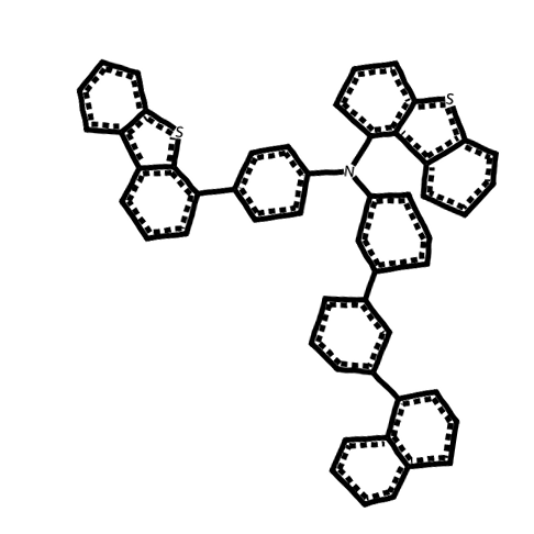 c1cc(-c2cccc(N(c3ccc(-c4cccc5c4sc4ccccc45)cc3)c3cccc4sc5ccccc5c34)c2)cc(-c2cccc3ccccc23)c1